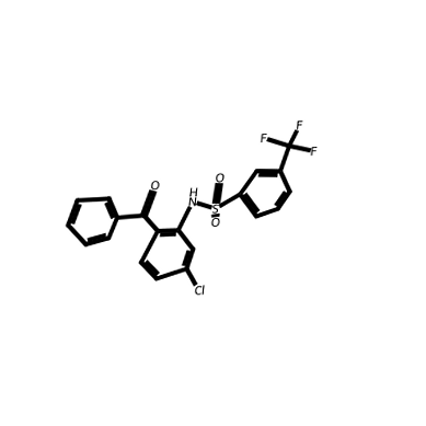 O=C(c1ccccc1)c1ccc(Cl)cc1NS(=O)(=O)c1cccc(C(F)(F)F)c1